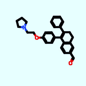 O=Cc1ccc2c(c1)CCC(c1ccccc1)=C2c1ccc(OCCN2CCCC2)cc1